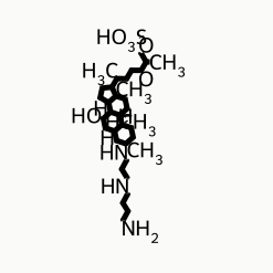 CC(COS(=O)(=O)O)C(=O)CC[C@@H](C)C1CC[C@H]2[C@@H]3[C@H](O)C[C@H]4CC(C)(NCCCNCCCCN)CC[C@]4(C)[C@H]3CC[C@]12C